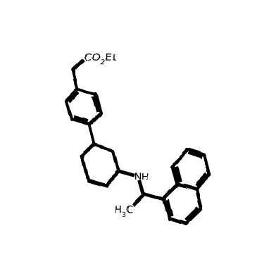 CCOC(=O)Cc1ccc(C2CCCC(NC(C)c3cccc4ccccc34)C2)cc1